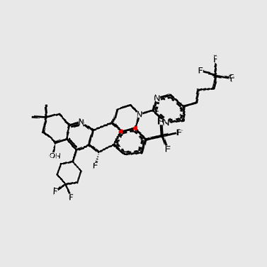 CC1(C)CC2=NC(C3CCN(c4ncc(CCCC(F)(F)F)cn4)CC3)C([C@@H](F)c3ccc(C(F)(F)F)cc3)C(C3CCC(F)(F)CC3)=C2[C@@H](O)C1